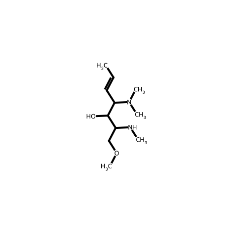 C/C=C/C(C(O)C(COC)NC)N(C)C